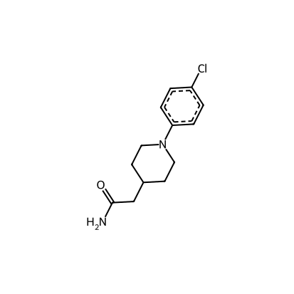 NC(=O)CC1CCN(c2ccc(Cl)cc2)CC1